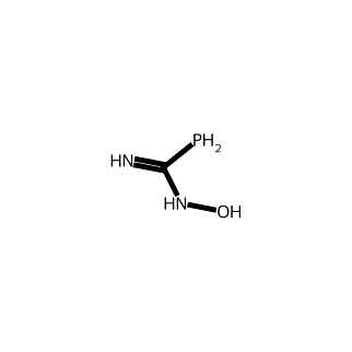 N=C(P)NO